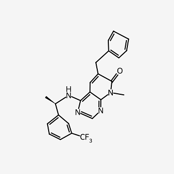 C[C@@H](Nc1ncnc2c1cc(Cc1ccccc1)c(=O)n2C)c1cccc(C(F)(F)F)c1